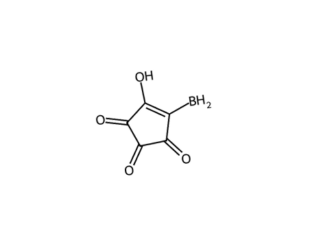 Bc1c(O)c(=O)c(=O)c1=O